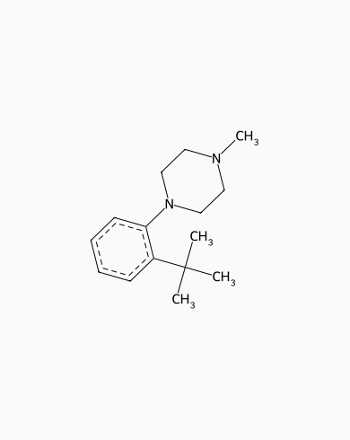 CN1CCN(c2ccccc2C(C)(C)C)CC1